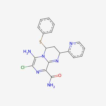 NC(=O)C1=NC(Cl)=C(N)N2C1=NC(c1ccccn1)CC2Sc1ccccc1